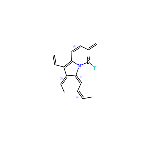 C=C/C=C\c1c(C=C)c(=C/C)/c(=C\C=C/C)n1BF